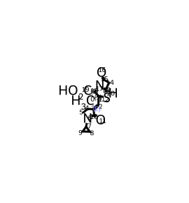 C[C@@]1(/C=C2\CCN(C3CC3)C2=O)S[C@@H]2CC(=O)N2[C@H]1C(=O)O